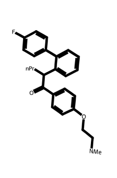 CCCC(C(=O)c1ccc(OCCNC)cc1)c1ccccc1-c1ccc(F)cc1